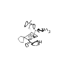 CS(=O)(=O)C[C@H](CCN)C1(S(=O)(=O)O)CCCC1